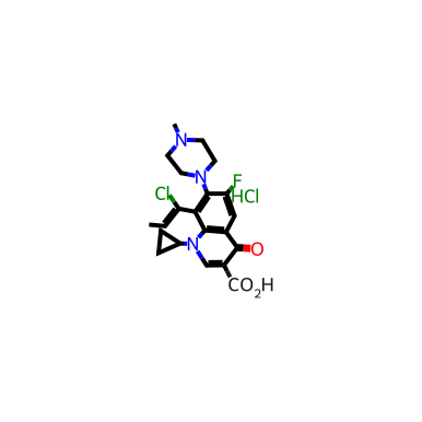 C/C=C(\Cl)c1c(N2CCN(C)CC2)c(F)cc2c(=O)c(C(=O)O)cn(C3CC3)c12.Cl